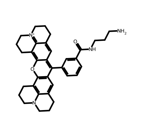 NCCCNC(=O)c1cccc(C2=c3cc4c5c(c3Oc3c2cc2c6c3CCCN6CCC2)CCC[N+]=5CCC4)c1